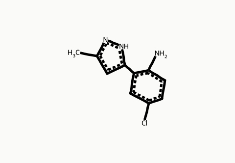 Cc1cc(-c2cc(Cl)ccc2N)[nH]n1